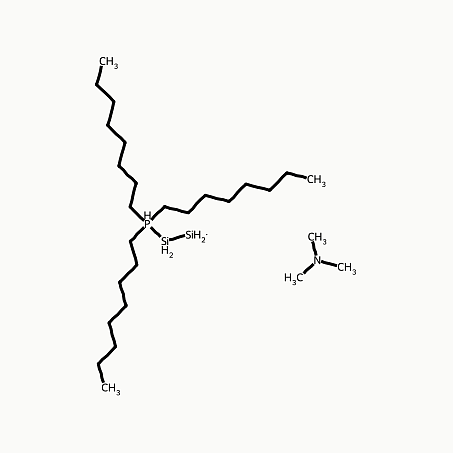 CCCCCCCC[PH](CCCCCCCC)(CCCCCCCC)[SiH2][SiH2].CN(C)C